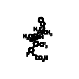 CN(C[C@H](O)CNC(C)(C)CC1Cc2ccccc2C1)S(=O)(=O)c1cc(-c2ccc(F)c(CCC(=O)O)c2)cc(C(F)(F)F)c1